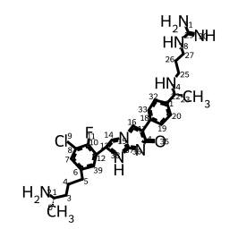 C[C@H](N)CCCc1cc(Cl)c(F)c(-c2cn3cc(-c4ccc([C@H](C)NCCCNC(=N)N)cc4)c(=O)nc3[nH]2)c1